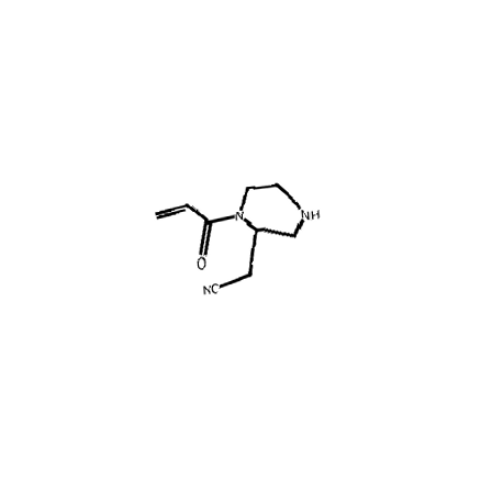 C=CC(=O)N1CCNCC1CC#N